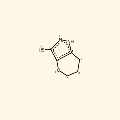 Sc1n[nH]c2c1OCCC2